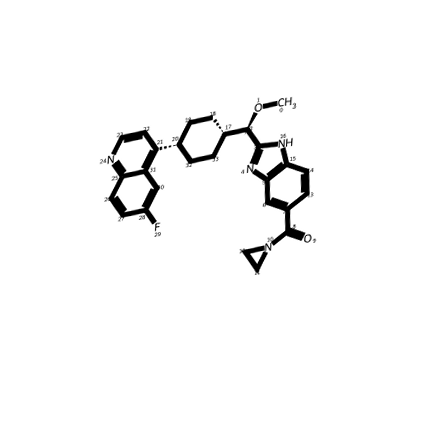 CO[C@@H](c1nc2cc(C(=O)N3CC3)ccc2[nH]1)[C@H]1CC[C@@H](c2ccnc3ccc(F)cc32)CC1